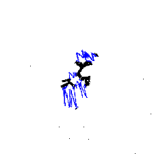 CC/N=C(/c1cnn(C)c1)c1ccnn1C1CC=NN1C